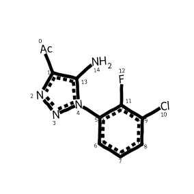 CC(=O)c1nnn(-c2cccc(Cl)c2F)c1N